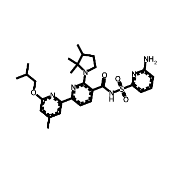 Cc1cc(OCC(C)C)nc(-c2ccc(C(=O)NS(=O)(=O)c3cccc(N)n3)c(N3CCC(C)C3(C)C)n2)c1